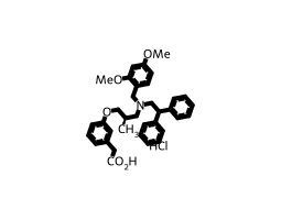 COc1ccc(CN(CC(c2ccccc2)c2ccccc2)C[C@@H](C)COc2cccc(CC(=O)O)c2)c(OC)c1.Cl